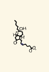 CCCCCC1(O)CC[C@@H]2C(C/C=C\CCCC(=O)OC)C(=O)C[C@H]2S1